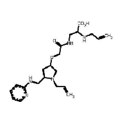 C=CCNC(CNC(=O)COC1CC(CNc2ccccn2)N(CC=C)C1)C(=O)O